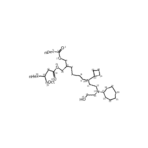 CCCCCCCCCCC(=O)OCC(CCCCN(CCN(CCO)C1CCCCCC1)C1CCC1)COC(=O)CC(CCCCCC)CCCCCCCC